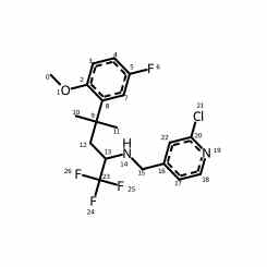 COc1ccc(F)cc1C(C)(C)CC(NCc1ccnc(Cl)c1)C(F)(F)F